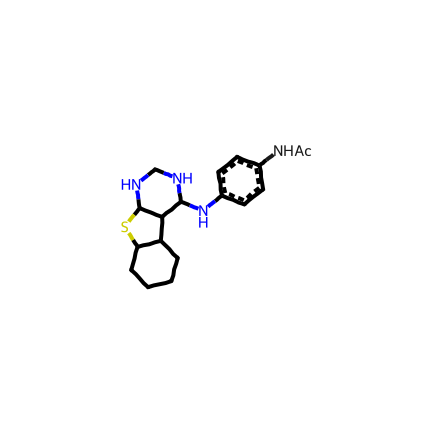 CC(=O)Nc1ccc(NC2NCNC3SC4CCCCC4C23)cc1